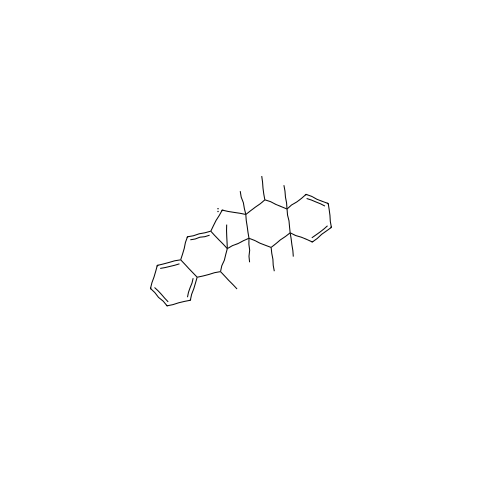 CC1C2(C)[C]C3=Cc4ccccc4C(C)C3(C)C2(C)C(C)C2(C)C=CC=CC12C